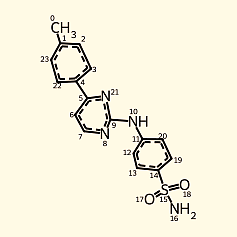 Cc1ccc(-c2ccnc(Nc3ccc(S(N)(=O)=O)cc3)n2)cc1